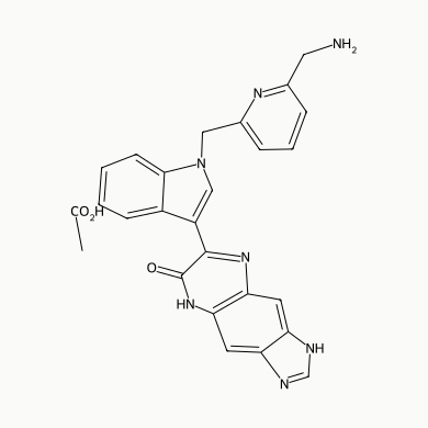 CC(=O)O.NCc1cccc(Cn2cc(-c3nc4cc5[nH]cnc5cc4[nH]c3=O)c3ccccc32)n1